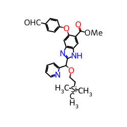 COC(=O)c1cc2[nH]c(C(OCC[Si](C)(C)C)c3ccccn3)nc2cc1Oc1ccc(C=O)cc1